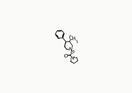 CC1CN(OC(=O)N2CCCC2)CCC1c1ccccc1